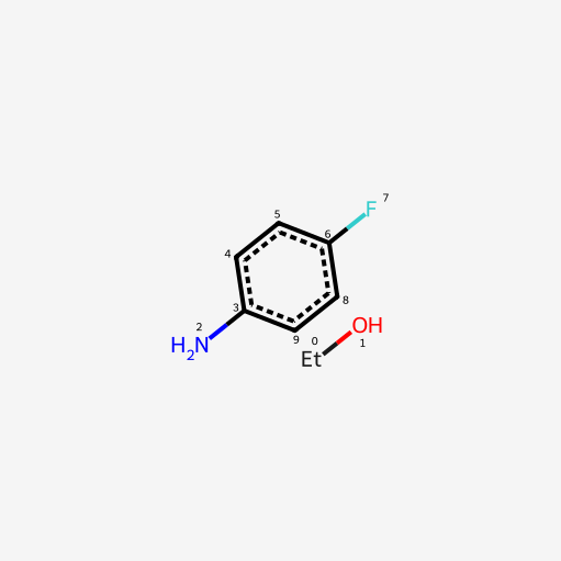 CCO.Nc1ccc(F)cc1